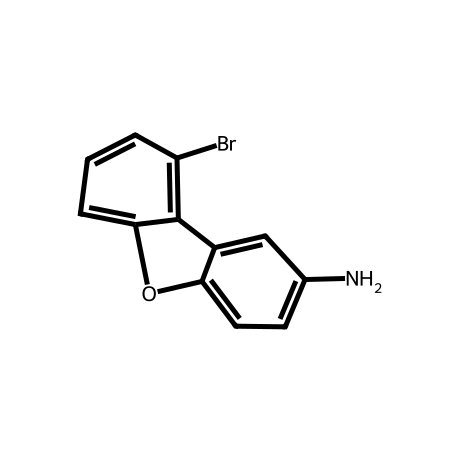 Nc1ccc2oc3cccc(Br)c3c2c1